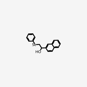 OC(C[Se]c1ccccc1)c1ccc2ccccc2c1